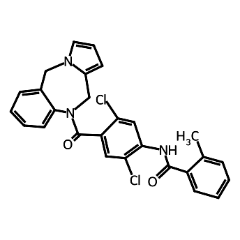 Cc1ccccc1C(=O)Nc1cc(Cl)c(C(=O)N2Cc3cccn3Cc3ccccc32)cc1Cl